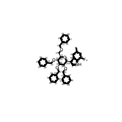 Cc1cc(F)c2[nH]cc([C@@H]3O[C@H](COCc4ccccc4)[C@@H](OCc4ccccc4)[C@H](OCc4ccccc4)[C@H]3OCc3ccccc3)c2c1